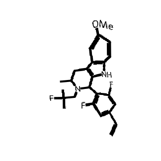 C=Cc1cc(F)c(C2c3[nH]c4ccc(OC)cc4c3CC(C)N2CC(C)(C)F)c(F)c1